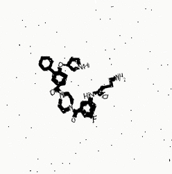 NCCCC(=O)Nc1cc(F)cc(C(=O)N2CCN(C(=O)c3ccc(O[C@H]4CCNC4)c(C4CCCCC4)c3)CC2)c1